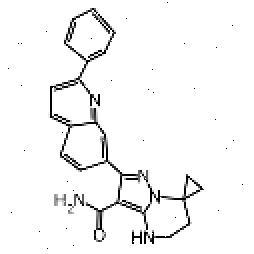 NC(=O)c1c(-c2ccc3ccc(-c4ccccc4)nc3c2)nn2c1NCCC21CC1